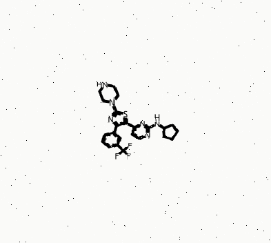 FC(F)(F)c1cccc(-c2nc(N3CCNCC3)sc2-c2ccnc(NC3CCCC3)n2)c1